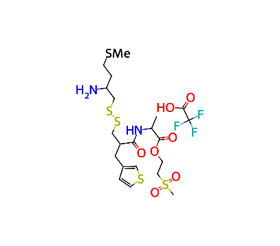 CSCCC(N)CSSCC(Cc1ccsc1)C(=O)NC(C)C(=O)OCCS(C)(=O)=O.O=C(O)C(F)(F)F